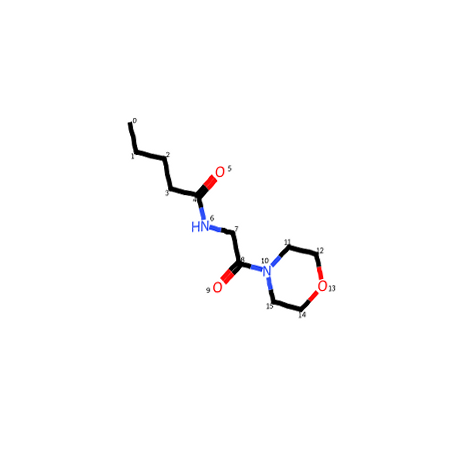 CCCCC(=O)NCC(=O)N1CCOCC1